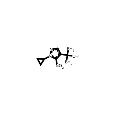 BC(B)(O)c1cnn(C2CC2)c1[N+](=O)[O-]